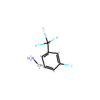 CN.Fc1cccc(C(F)(F)F)c1